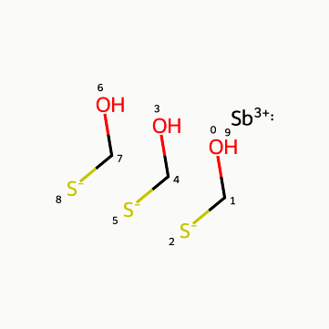 OC[S-].OC[S-].OC[S-].[Sb+3]